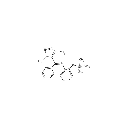 Cc1cnn(C)c1C(=Nc1ccccc1O[Si](C)(C)C)c1ccccc1